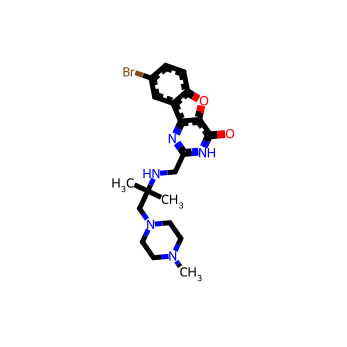 CN1CCN(CC(C)(C)NCc2nc3c(oc4ccc(Br)cc43)c(=O)[nH]2)CC1